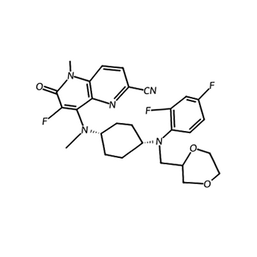 Cn1c(=O)c(F)c(N(C)[C@H]2CC[C@@H](N(CC3COCCO3)c3ccc(F)cc3F)CC2)c2nc(C#N)ccc21